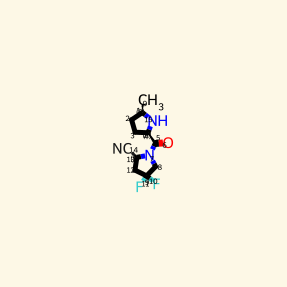 C[C@H]1CC[C@H](C(=O)N2CC(F)(F)C[C@H]2C#N)N1